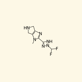 Cn1c(-c2nn(C(F)F)[nH]2)nc2c1CNC2